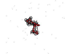 Cc1ccc(/C=N/NCN/N=C/C[C@@H](/C=N\NCCC(=O)N2CCC(CCCOc3ccc4nccc(C(=O)NCC(=O)N5CC(C)(F)C[C@@H]5C#N)c4c3)CC2)NC(=O)CN2CCN(COC=O)CCN(COC=O)CCN(CC(=O)O)CC2)cc1